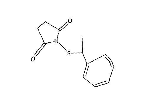 CC(SN1C(=O)CCC1=O)c1ccccc1